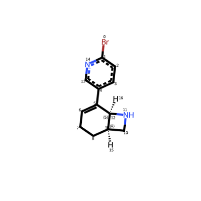 Brc1ccc(C2=CCC[C@@H]3CN[C@H]23)cn1